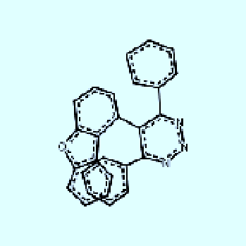 c1ccc(-c2nnnc(-c3ccccc3)c2-c2cccc3oc4ccccc4c23)cc1